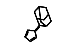 C1=CC(=C2C3CC4CC(C3)CC2C4)C=C1